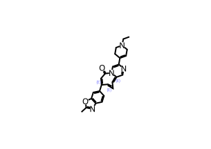 CCN1CC=C(C2=CN3C(=O)\C=C(c4ccc5nc(C)oc5c4)/C=C/C=C/3C=N2)CC1